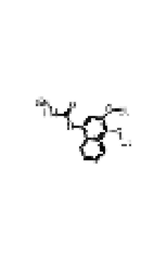 CCOc1cc(OC(=O)NC(C)(C)C)c2ccccc2c1OCC